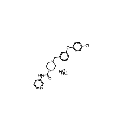 Cl.Cl.O=C(Nc1cccnc1)N1CCN(Cc2cccc(Oc3ccc(Cl)cc3)c2)CC1